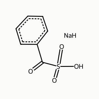 O=C(c1ccccc1)S(=O)(=O)O.[NaH]